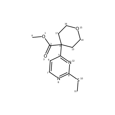 COC(=O)C1(c2ccnc(SC)n2)CCOCC1